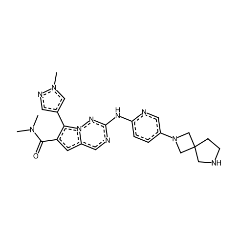 CN(C)C(=O)c1cc2cnc(Nc3ccc(N4CC5(CCNC5)C4)cn3)nn2c1-c1cnn(C)c1